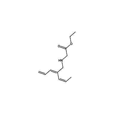 C=C/C=C(\C=C/C)CNCC(=O)OCC